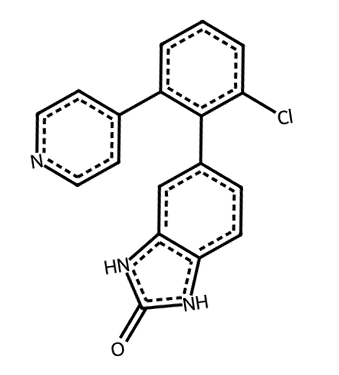 O=c1[nH]c2ccc(-c3c(Cl)cccc3-c3ccncc3)cc2[nH]1